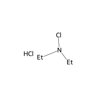 CCN(Cl)CC.Cl